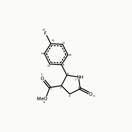 COC(=O)C1CC(=O)NC1c1ccc(F)cc1